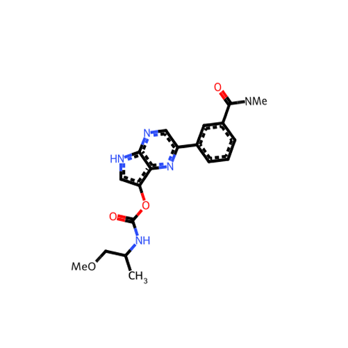 CNC(=O)c1cccc(-c2cnc3[nH]cc(OC(=O)NC(C)COC)c3n2)c1